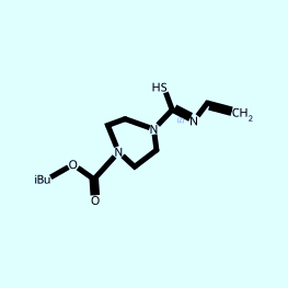 C=C/N=C(\S)N1CCN(C(=O)OC(C)CC)CC1